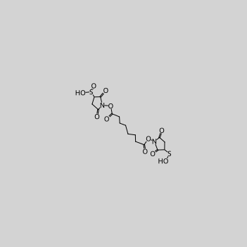 O=C(CCCCCCC(=O)ON1C(=O)CC(S(=O)O)C1=O)ON1C(=O)CC(SO)C1=O